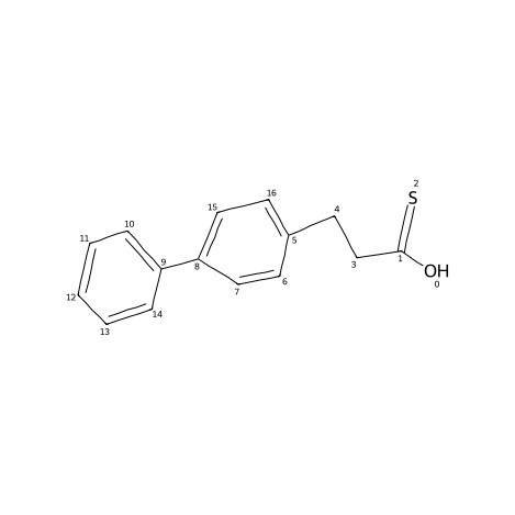 OC(=S)CCc1ccc(-c2ccccc2)cc1